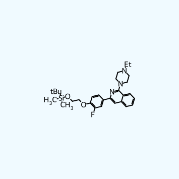 CCN1CCN(c2nc(-c3ccc(OCCO[Si](C)(C)C(C)(C)C)c(F)c3)cc3ccccc23)CC1